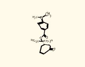 CN(C)c1ccc(C(=O)OC(C(=O)O)(C(=O)O)[C@H]2CCCC(=O)C2)cc1